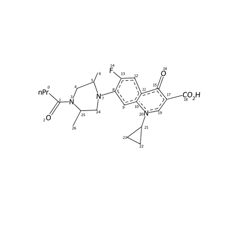 CCCC(=O)N1CC(C)N(c2cc3c(cc2F)c(=O)c(C(=O)O)cn3C2CC2)CC1C